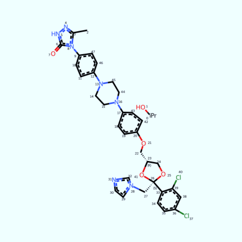 CC(C)O.Cc1n[nH]c(=O)n1-c1ccc(N2CCN(c3ccc(OC[C@@H]4CO[C@@](Cn5ccnc5)(c5ccc(Cl)cc5Cl)O4)cc3)CC2)cc1